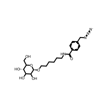 [N-]=[N+]=NCc1ccc(C(=O)NCCCCCCO[C@@H]2OC(CO)[C@@H](O)C(O)C2O)cc1